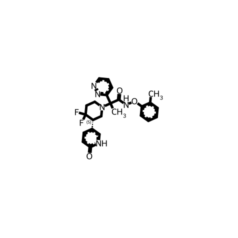 Cc1ccccc1ONC(=O)C(C)(c1cccnn1)N1CCC(F)(F)[C@@H](c2ccc(=O)[nH]c2)C1